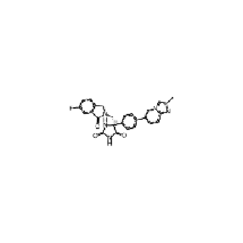 Cc1cn2cc(-c3ccc([C@]4(CN5Cc6ccc(F)cc6C5=O)NC(=O)NC4=O)cc3)ccc2n1